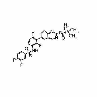 CC(C)(C)C(=O)Nc1ncc2cc(-c3c(F)ccc(NS(=O)(=O)c4ccc(F)c(F)c4)c3F)ccc2n1